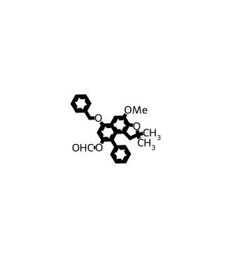 COc1cc2c(OCc3ccccc3)cc(OC=O)c(-c3ccccc3)c2c2c1OC(C)(C)C2